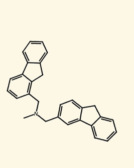 CN(Cc1ccc2c(c1)-c1ccccc1C2)Cc1cccc2c1Cc1ccccc1-2